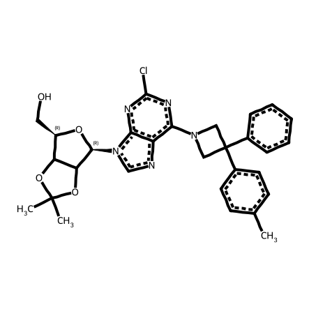 Cc1ccc(C2(c3ccccc3)CN(c3nc(Cl)nc4c3ncn4[C@@H]3O[C@H](CO)C4OC(C)(C)OC43)C2)cc1